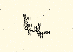 COCC(O)CN1CCC(Nc2cccc3c(CC(F)(F)F)c(C#CCNc4cc(F)c(NCCO)cc4OCC#N)sc23)C(F)C1